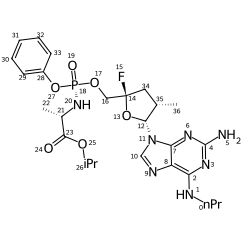 CCCNc1nc(N)nc2c1ncn2[C@@H]1O[C@](F)(CO[P@@](=O)(N[C@@H](C)C(=O)OC(C)C)Oc2ccccc2)C[C@@H]1C